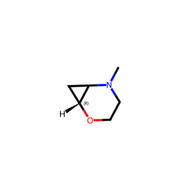 CN1CCO[C@@H]2CC21